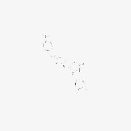 Cc1c(=O)n(Cc2ccc(Cl)c(Cl)c2)c(=O)n2cc(C(=O)NCc3ccc(N)nc3)sc12